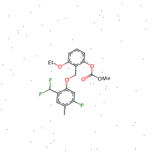 CCOc1cccc(OC(=O)OC)c1COc1cc(F)c(C)cc1C(F)F